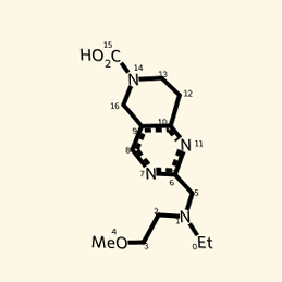 CCN(CCOC)Cc1ncc2c(n1)CCN(C(=O)O)C2